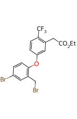 CCOC(=O)Cc1cc(Oc2ccc(Br)cc2CBr)ccc1C(F)(F)F